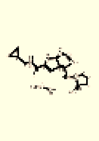 O=C(NCC1CC1)c1cc2c(NN3CCCC3=O)ncnc2[nH]1.O=CO